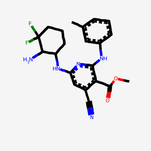 COC(=O)c1c(C#N)cc(NC2CCCC(F)(F)C2N)nc1Nc1cccc(C)c1